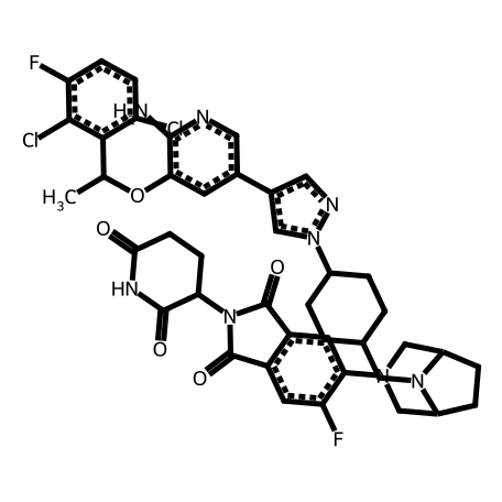 CC(Oc1cc(-c2cnn(C3CCC(CN4C5CCC4CN(c4cc6c(cc4F)C(=O)N(C4CCC(=O)NC4=O)C6=O)C5)CC3)c2)cnc1N)c1c(Cl)ccc(F)c1Cl